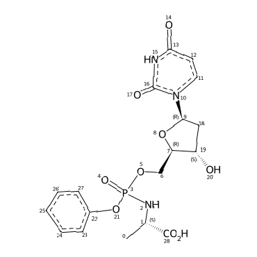 C[C@H](NP(=O)(OC[C@H]1O[C@@H](n2ccc(=O)[nH]c2=O)C[C@@H]1O)Oc1ccccc1)C(=O)O